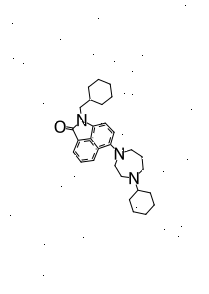 O=C1c2cccc3c(N4CCCN(C5CCCCC5)CC4)ccc(c23)N1CC1CCCCC1